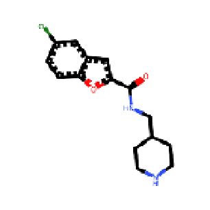 O=C(NCC1CCNCC1)c1cc2cc(Cl)ccc2o1